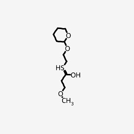 COCCC(O)=[SH]CCOC1CCCCO1